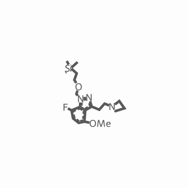 COc1ccc(F)c2c1c(CCN1CCC1)nn2COCC[Si](C)(C)C